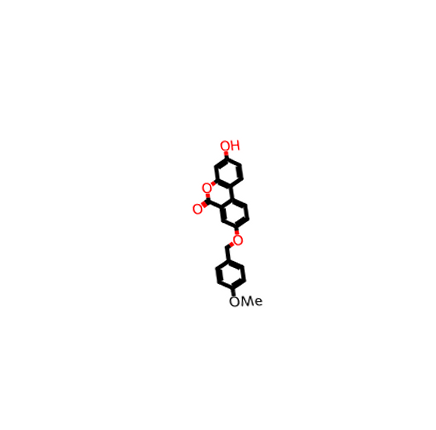 COc1ccc(COc2ccc3c(c2)c(=O)oc2cc(O)ccc23)cc1